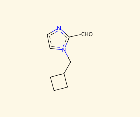 O=Cc1nccn1CC1CCC1